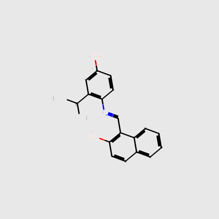 CC(C)c1cc(O)ccc1/N=C/c1c(O)ccc2ccccc12